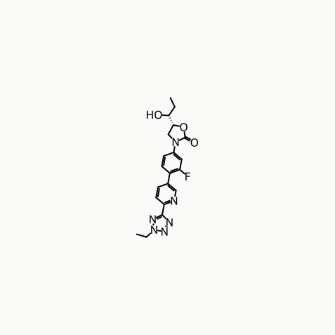 CCC(O)[C@H]1CN(c2ccc(-c3ccc(-c4nnn(CC)n4)nc3)c(F)c2)C(=O)O1